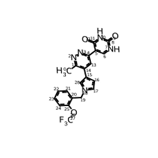 Cc1nnc(-c2c[nH]c(=O)[nH]c2=O)cc1-c1ccn(Cc2ccccc2OC(F)(F)F)c1